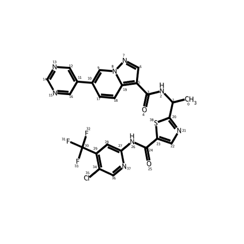 CC(NC(=O)c1cnn2cc(-c3cncnc3)ccc12)c1ncc(C(=O)Nc2cc(C(F)(F)F)c(Cl)cn2)s1